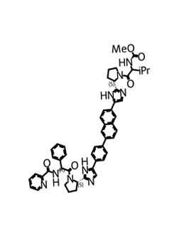 COC(=O)NC(C(=O)N1CCC[C@H]1c1ncc(-c2ccc3cc(-c4ccc(-c5cnc([C@@H]6CCCN6C(=O)[C@H](NC(=O)c6ccccn6)c6ccccc6)[nH]5)cc4)ccc3c2)[nH]1)C(C)C